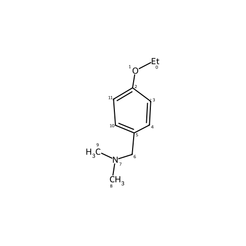 CCOc1[c]cc(CN(C)C)cc1